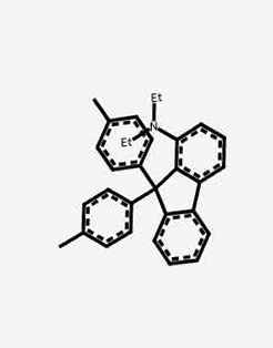 CCN(CC)c1cccc2c1C(c1ccc(C)cc1)(c1ccc(C)cc1)c1ccccc1-2